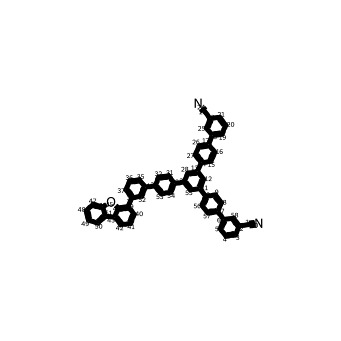 N#Cc1cccc(-c2ccc(-c3cc(-c4ccc(-c5cccc(C#N)c5)cc4)cc(-c4ccc(-c5cccc(-c6cccc7c6oc6ccccc67)c5)cc4)c3)cc2)c1